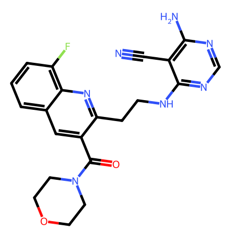 N#Cc1c(N)ncnc1NCCc1nc2c(F)cccc2cc1C(=O)N1CCOCC1